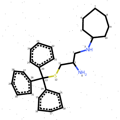 NC(CNC1CCCCCC1)CSC(c1ccccc1)(c1ccccc1)c1ccccc1